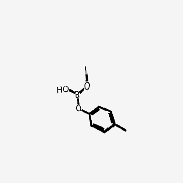 Cc1ccc(OB(O)OI)cc1